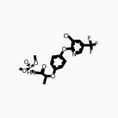 COP(=O)(NC(=O)C(C)Oc1ccc(Oc2ncc(C(F)(F)F)cc2Cl)cc1)OC